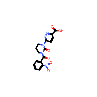 O=C(O)c1ccc(N2CCCN(C(=O)c3ccccc3[N+](=O)[O-])C2=O)nn1